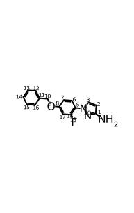 Nc1ccn(-c2ccc(OCc3ccccc3)cc2F)n1